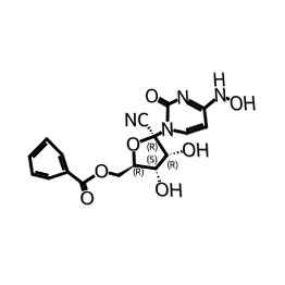 N#C[C@@]1(n2ccc(NO)nc2=O)O[C@H](COC(=O)c2ccccc2)[C@@H](O)[C@H]1O